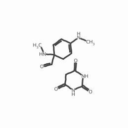 CNC1=CCC(C=O)(NC)C=C1.O=C1CC(=O)NC(=O)N1